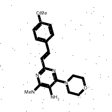 CNc1nc(/C=C/c2ccc(OC)cc2)nc(N2CCOCC2)c1N